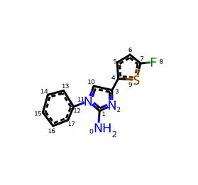 Nc1nc(-c2ccc(F)s2)cn1-c1ccccc1